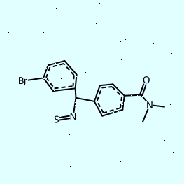 CN(C)C(=O)c1ccc(C(N=S)c2cccc(Br)c2)cc1